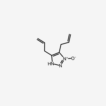 C=CCc1[nH]n[n+]([O-])c1CC=C